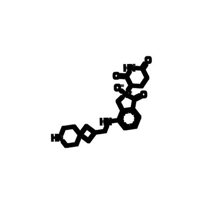 O=C1CCC([N+]2([O-])Cc3c(NCC4CC5(CCNCC5)C4)cccc3C2=O)C(=O)N1